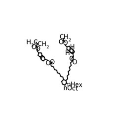 C=CC(=O)OCC1C[C@@H]2C3CC(CC3COC(=O)CCCCCCCCC3C(CCCCCCCCC(=O)OCC4CC5CC4C4CC(COC(=O)C(=C)C)CC54)CCC(CCCCCCCC)C3CCCCCC)[C@@H]2C1